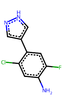 Nc1cc(Cl)c(-c2cn[nH]c2)cc1F